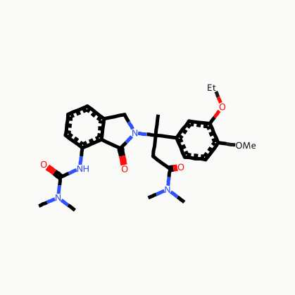 CCOc1cc(C(C)(CC(=O)N(C)C)N2Cc3cccc(NC(=O)N(C)C)c3C2=O)ccc1OC